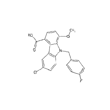 COc1ccc(C(=O)O)c2c3cc(Cl)ccc3n(Cc3ccc(F)cc3)c12